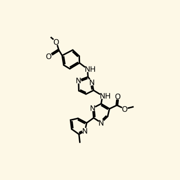 COC(=O)c1ccc(Nc2nccc(Nc3nc(-c4cccc(C)n4)ncc3C(=O)OC)n2)cc1